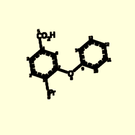 CC(C)c1ccc(C(=O)O)cc1Oc1ccccc1